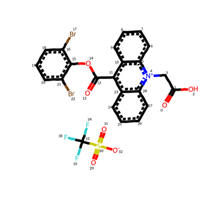 O=C(O)C[n+]1c2ccccc2c(C(=O)Oc2c(Br)cccc2Br)c2ccccc21.O=S(=O)([O-])C(F)(F)F